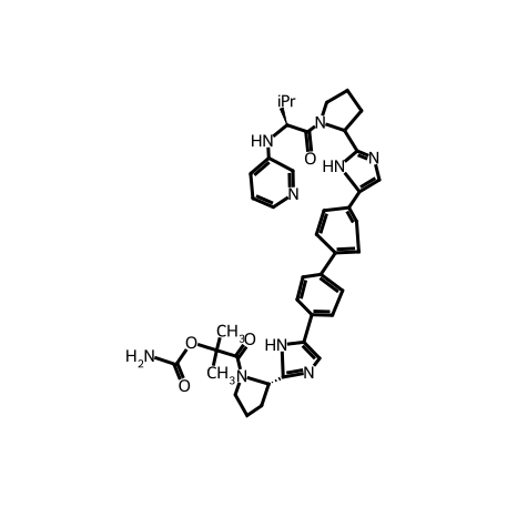 CC(C)[C@H](Nc1cccnc1)C(=O)N1CCCC1c1ncc(-c2ccc(-c3ccc(-c4cnc([C@@H]5CCCN5C(=O)C(C)(C)OC(N)=O)[nH]4)cc3)cc2)[nH]1